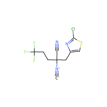 [C-]#[N+]C(C#N)(CCC(F)(F)F)Cc1csc(Cl)n1